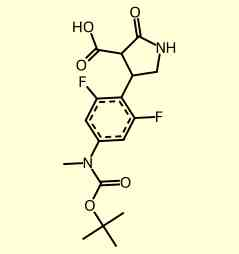 CN(C(=O)OC(C)(C)C)c1cc(F)c(C2CNC(=O)C2C(=O)O)c(F)c1